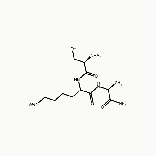 CNCCCC[C@H](NC(=O)[C@@H](CO)NC(C)=O)C(=O)N[C@@H](C)C(N)=O